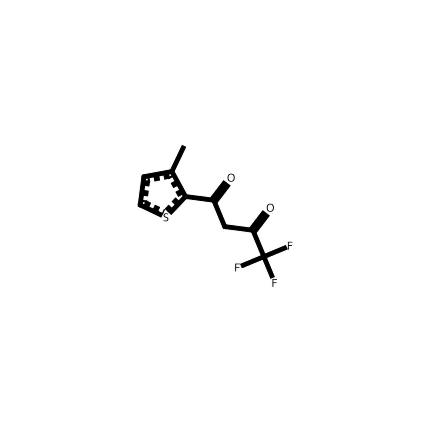 Cc1ccsc1C(=O)CC(=O)C(F)(F)F